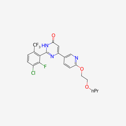 CCCOCCOc1ccc(-c2cc(=O)[nH]c(-c3c(C(F)(F)F)ccc(Cl)c3F)n2)cn1